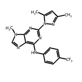 Cc1cc(C)n(-c2nc(Nc3ccc(C(F)(F)F)cc3)c3ncn(C)c3n2)n1